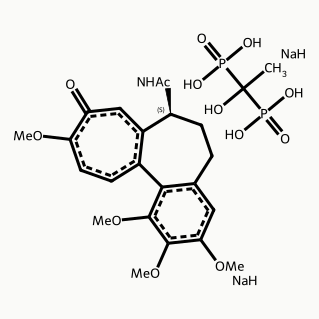 CC(O)(P(=O)(O)O)P(=O)(O)O.COc1cc2c(c(OC)c1OC)-c1ccc(OC)c(=O)cc1[C@@H](NC(C)=O)CC2.[NaH].[NaH]